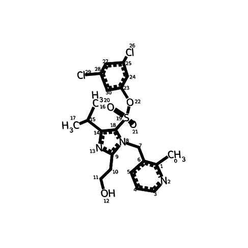 Cc1ncccc1Cn1c(CCO)nc(C(C)C)c1S(=O)(=O)Oc1cc(Cl)cc(Cl)c1